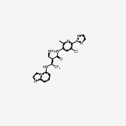 Cc1nc(-n2nccn2)c(Cl)cc1NC(=O)/C(C=N)=C(/Nc1cccc2nccn12)C(F)(F)F